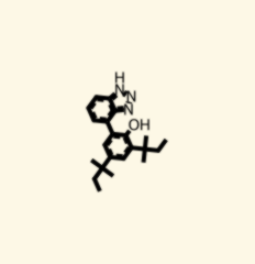 CCC(C)(C)c1cc(-c2cccc3[nH]nnc23)c(O)c(C(C)(C)CC)c1